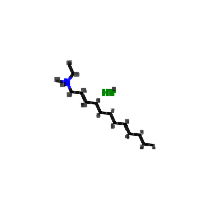 Br.CCCCCCCCCCCCN(C)CC